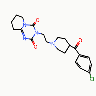 O=C(c1ccc(Cl)cc1)C1CCN(CCn2c(=O)nc3n(c2=O)CCCC3)CC1